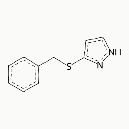 c1ccc(CSc2cc[nH]n2)cc1